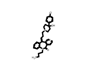 CCCCN1C(=O)c2ccccc2C(=CCCN2CCC(O)(c3ccc(Cl)cc3)CC2)c2ccccc21